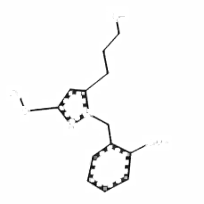 COc1ccccc1Cn1nc(OC(C)C)cc1CCCO